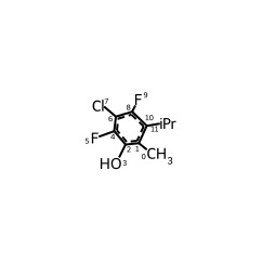 Cc1c(O)c(F)c(Cl)c(F)c1C(C)C